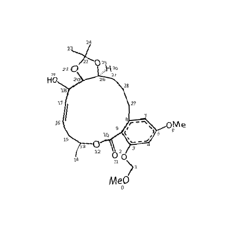 COCOc1cc(OC)cc2c1C(=O)OC(C)C/C=C\C(O)C1OC(C)(C)O[C@H]1CCC2